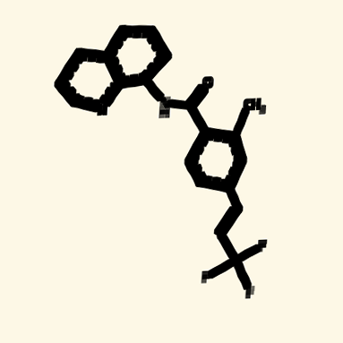 Cc1cc(C=CC(F)(F)F)ccc1C(=O)Nc1cccc2cccnc12